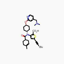 CC1=CCC(C(=O)N(c2cc(C#CC(C)(C)C)sc2C(=O)O)[C@H]2CC[C@H](Oc3cc(CN(C)C)ccn3)CC2)CC1